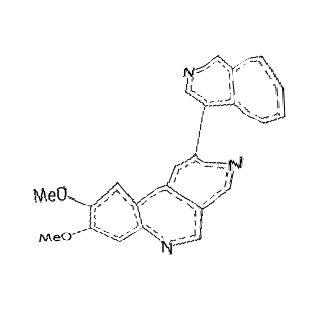 COc1cc2ncc3cnc(-c4cncc5ccccc45)cc3c2cc1OC